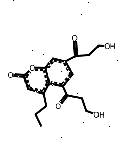 CCCc1cc(=O)oc2cc(C(=O)CCO)cc(C(=O)CCO)c12